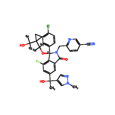 [2H]C([2H])(O)C1(C([2H])([2H])O[C@]2(c3ccc(Cl)cc3)c3c(F)cc(C(C)(O)c4cnn(C)c4)cc3C(=O)N2Cc2ccc(C#N)cn2)CC1